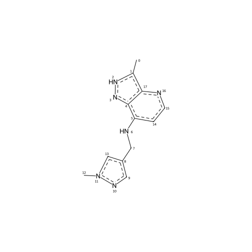 Cc1[nH]nc2c(NCc3cnn(C)c3)ccnc12